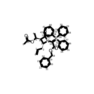 C=CC[C@@H]1[C@@H](C(C)OC(C)=O)C(=O)N1C(C(=O)OCc1ccccc1)=P(c1ccccc1)(c1ccccc1)c1ccccc1